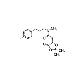 CN(CCCc1ccc(F)cc1)C(=O)C=C1OC(C)(C)OC1=O